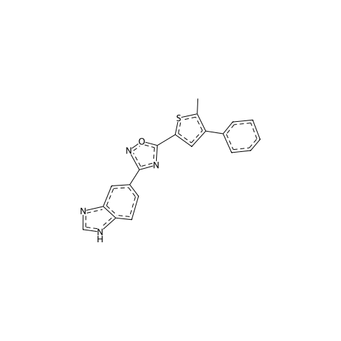 Cc1sc(-c2nc(-c3ccc4[nH]cnc4c3)no2)cc1-c1ccccc1